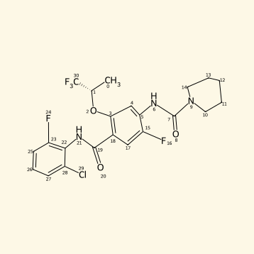 C[C@H](Oc1cc(NC(=O)N2CCCCC2)c(F)cc1C(=O)Nc1c(F)cccc1Cl)C(F)(F)F